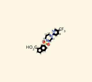 O=C(O)C1CCc2ccc(S(=O)(=O)N3CCCN(c4ccc(C(F)(F)F)cn4)CC3)cc21